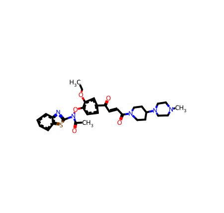 CCOc1cc(C(=O)C=CC(=O)N2CCC(N3CCN(C)CC3)CC2)ccc1ON(C(C)=O)c1nc2ccccc2s1